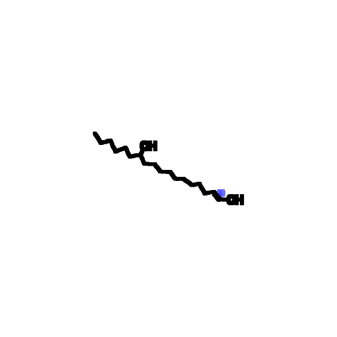 CCCCCCC(O)CCCCCCCCC/C=C/O